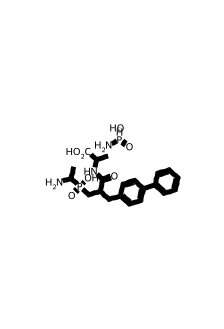 CC(NC(=O)C(Cc1ccc(-c2ccccc2)cc1)CP(=O)(O)C(C)N)C(=O)O.N[PH](=O)O